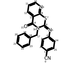 N#Cc1ccc(N=c2sc3ncccc3c(=O)n2Cc2ccccc2)cc1